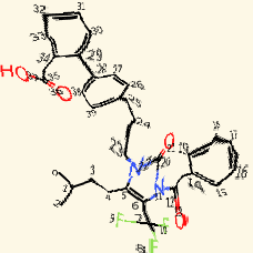 CC(C)CCc1c(C(F)(F)F)n(C(=O)c2ccccc2)c(=O)n1CCc1ccc(-c2ccccc2C(=O)O)cc1